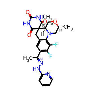 C/C(=N\Nc1ccccn1)c1cc2c(c(F)c1F)N1C[C@@H](C)O[C@@H](C)[C@@H]1C1(C2)C(=O)NC(=O)NC1=O